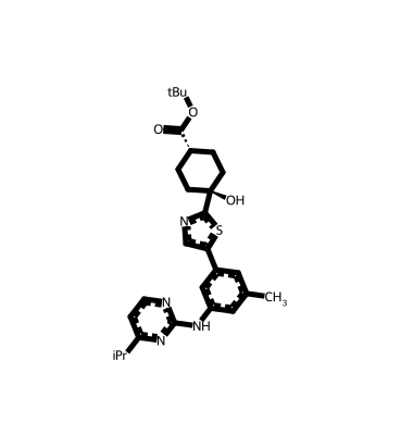 Cc1cc(Nc2nccc(C(C)C)n2)cc(-c2cnc([C@]3(O)CC[C@H](C(=O)OC(C)(C)C)CC3)s2)c1